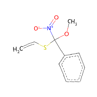 C=CSC(OC)(c1ccccc1)[N+](=O)[O-]